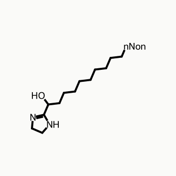 CCCCCCCCCCCCCCCCCCC(O)C1=NCCN1